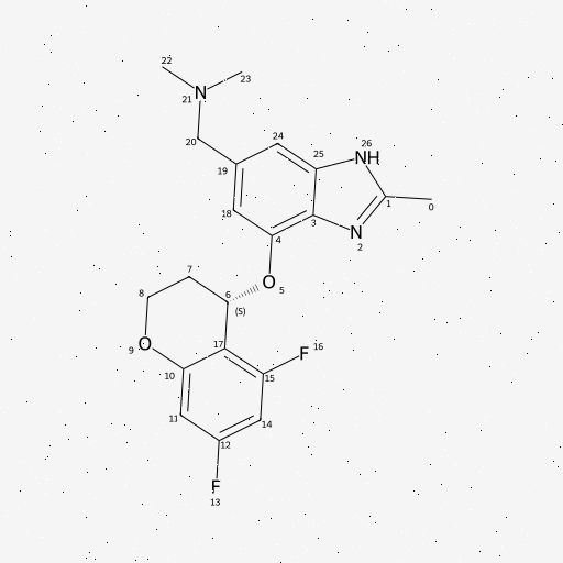 Cc1nc2c(O[C@H]3CCOc4cc(F)cc(F)c43)cc(CN(C)C)cc2[nH]1